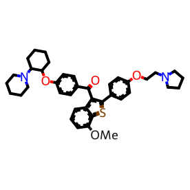 COc1cccc2c(C(=O)c3ccc(OC4CCCCC4N4CCCCC4)cc3)c(-c3ccc(OCCN4CCCC4)cc3)sc12